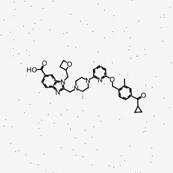 Cc1cc(C(=O)C2CC2)ccc1COc1cccc(N2CCN(Cc3nc4ccc(C(=O)O)cc4n3CC3CCO3)[C@@H](C)C2)n1